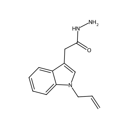 C=CCn1cc(CC(=O)NN)c2ccccc21